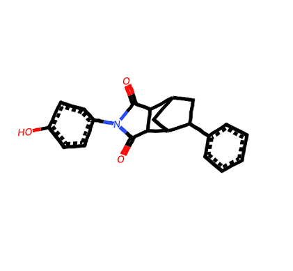 O=C1C2C3CC(c4ccccc4)C(C3)C2C(=O)N1c1ccc(O)cc1